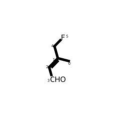 C/C(=C\C=O)CF